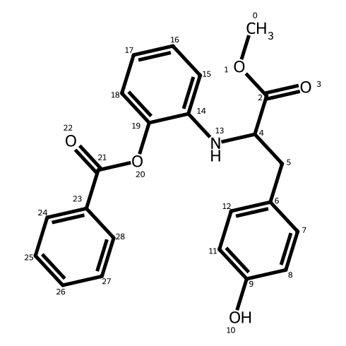 COC(=O)C(Cc1ccc(O)cc1)Nc1ccccc1OC(=O)c1ccccc1